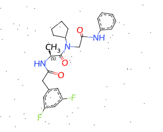 C[C@H](NC(=O)Cc1cc(F)cc(F)c1)C(=O)N(CC(=O)Nc1ccccc1)C1CCCC1